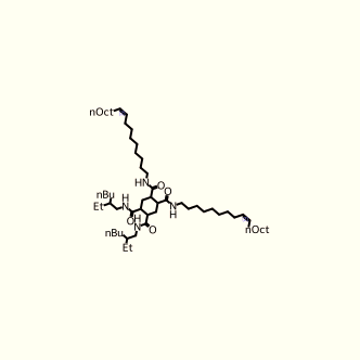 CCCCCCCC/C=C\CCCCCCCCNC(=O)C1CC(C(=O)NCC(CC)CCCC)C(C(=O)NCC(CC)CCCC)CC1C(=O)NCCCCCCCC/C=C\CCCCCCCC